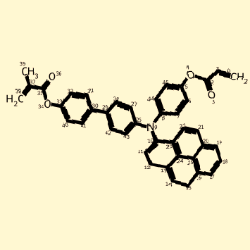 C=CC(=O)Oc1ccc(N(C2=CCC3=CCc4cccc5ccc2c3c45)c2ccc(-c3ccc(OC(=O)C(=C)C)cc3)cc2)cc1